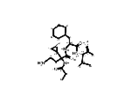 CCC(=O)NC(CCN)(C(=O)N[C@@H](CC1CCCCC1)C(=O)N[C@H](C(C)=O)C(C)C)C1CS1